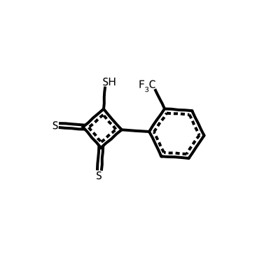 FC(F)(F)c1ccccc1-c1c(S)c(=S)c1=S